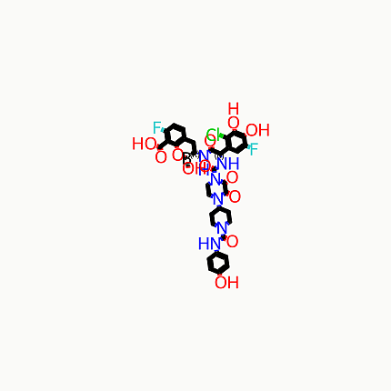 O=C(O)c1c(F)ccc2c1OB(O)[C@@H](NC(=O)[C@H](NC(=O)N1CCN(C3CCN(C(=O)Nc4ccc(O)cc4)CC3)C(=O)C1=O)c1cc(F)c(O)c(O)c1Cl)C2